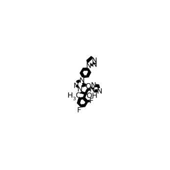 C[C@@H](n1ncn(-c2ccc(-n3ccnn3)cc2)c1=O)[C@](O)(Cn1cncn1)c1ccc(F)cc1F